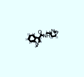 Cn1cc(C(=O)NCC2=NOCC2)c2ccccc21